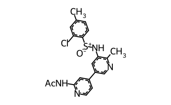 CC(=O)Nc1cc(-c2cnc(C)c(N[S+]([O-])c3ccc(C)cc3Cl)c2)ccn1